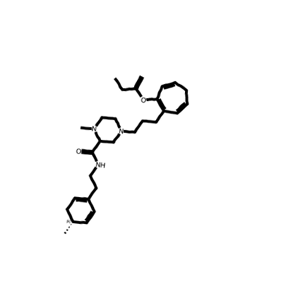 C=C(CC)OC1=C(CCCN2CCN(C)C(C(=O)NCCC3=CC[C@@H](C)C=C3)C2)C=CCC=C1